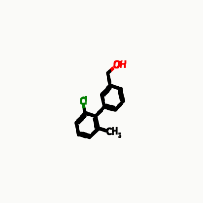 Cc1cccc(Cl)c1-c1cccc(CO)c1